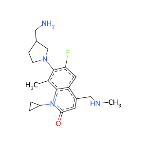 CNCc1cc(=O)n(C2CC2)c2c(C)c(N3CCC(CN)C3)c(F)cc12